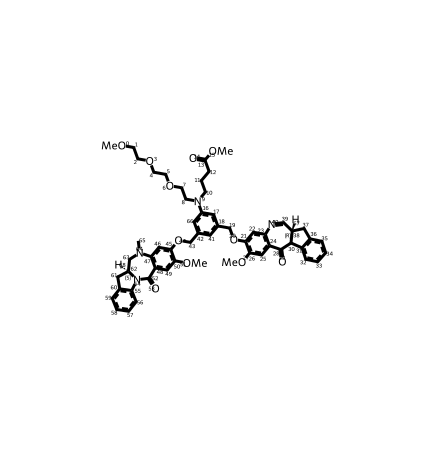 COCCOCCOCCN(CCCC(=O)OC)c1cc(COc2cc3c(cc2OC)C(=O)C2c4ccccc4C[C@H]2C=N3)cc(COc2cc3c(cc2OC)C(=O)N2c4ccccc4C[C@H]2CN3C)c1